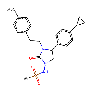 CCCS(=O)(=O)NN1CC(c2ccc(C3CC3)cc2)N(CCc2ccc(OC)cc2)C1=O